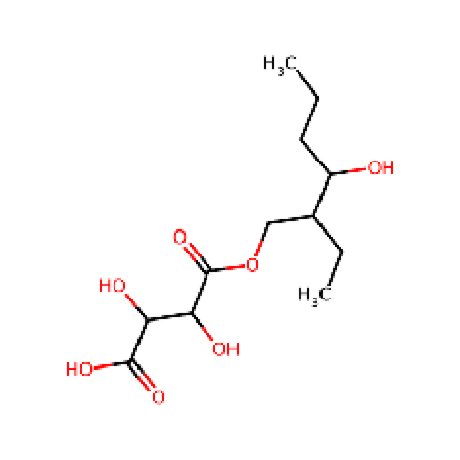 CCCC(O)C(CC)COC(=O)C(O)C(O)C(=O)O